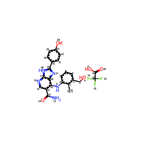 CCc1c(CO)cccc1Nc1c(C(N)=O)cnc2[nH]c(-c3ccc(O)cc3)nc12.O=C(O)C(F)(F)F